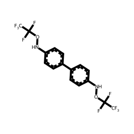 FC(F)(F)C(F)(F)ONc1ccc(-c2ccc(NOC(F)(F)C(F)(F)F)cc2)cc1